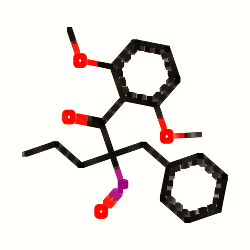 CCCC(Cc1ccccc1)(P=O)C(=O)c1c(OC)cccc1OC